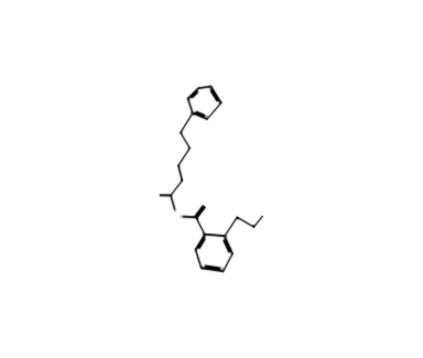 CCCc1ccccc1C(=O)OC(C)CCCCc1ccccc1